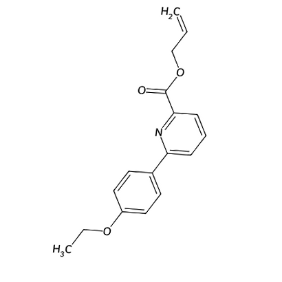 C=CCOC(=O)c1cccc(-c2ccc(OCC)cc2)n1